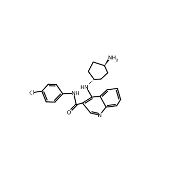 N[C@H]1CC[C@H](Nc2c(C(=O)Nc3ccc(Cl)cc3)cnc3ccccc23)CC1